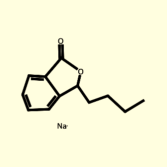 CCCCC1OC(=O)c2ccccc21.[Na]